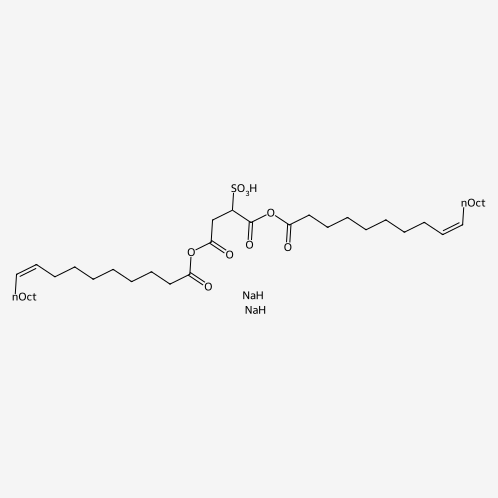 CCCCCCCC/C=C\CCCCCCCC(=O)OC(=O)CC(C(=O)OC(=O)CCCCCCC/C=C\CCCCCCCC)S(=O)(=O)O.[NaH].[NaH]